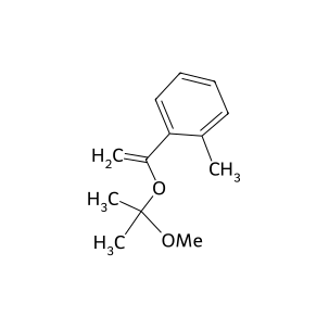 C=C(OC(C)(C)OC)c1ccccc1C